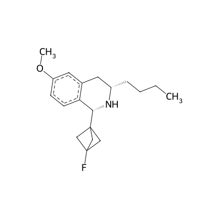 CCCC[C@H]1Cc2cc(OC)ccc2[C@@H](C23CC(F)(C2)C3)N1